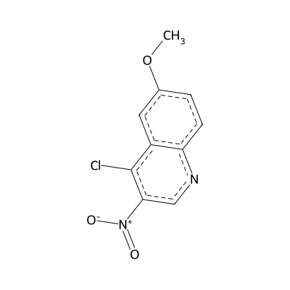 COc1ccc2ncc([N+](=O)[O-])c(Cl)c2c1